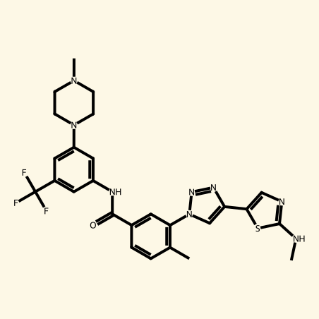 CNc1ncc(-c2cn(-c3cc(C(=O)Nc4cc(N5CCN(C)CC5)cc(C(F)(F)F)c4)ccc3C)nn2)s1